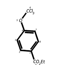 CCOC(=O)c1ccc(OC(Cl)(Cl)Cl)cc1